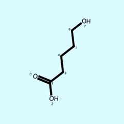 O=C(O)CCC[CH]O